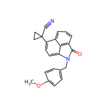 COc1ccc(CN2C(=O)c3cccc4c(C5(C#N)CC5)ccc2c34)cc1